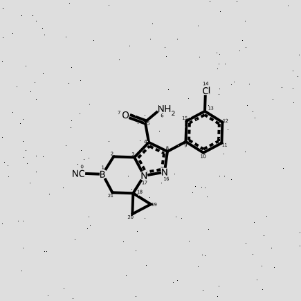 N#CB1Cc2c(C(N)=O)c(-c3cccc(Cl)c3)nn2C2(CC2)C1